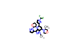 C[C@@H]1COCCN1c1cc(-c2ccn(C(F)F)n2)nc2c(-c3ccnn3C3CCCCO3)nn(CC(F)(F)F)c12